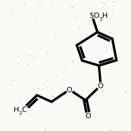 C=CCOC(=O)Oc1ccc(S(=O)(=O)O)cc1